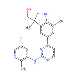 Cc1ncc(Cl)cc1Nc1nccc(-c2cc(C#N)c3c(c2)C(C)(CO)CN3)n1